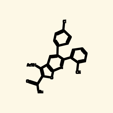 CC(=O)Nc1c(C(=O)C(C)(C)C)oc2nc(-c3ccccc3C#N)c(-c3ccc(Cl)cc3)cc12